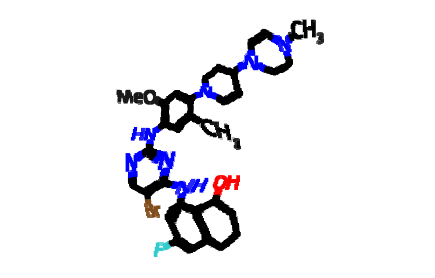 COc1cc(N2CCC(N3CCN(C)CC3)CC2)c(C)cc1Nc1ncc(Br)c(Nc2cc(F)cc3c2C(O)CCC3)n1